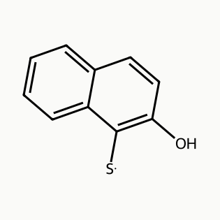 Oc1ccc2ccccc2c1[S]